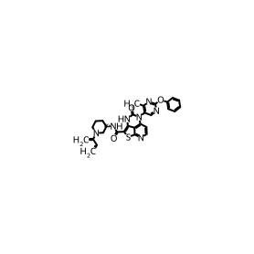 C=CC(=C)N1CCC[C@@H](NC(=O)c2sc3nccc4c3c2NC(=O)N4c2cnc(Oc3ccccc3)nc2C)C1